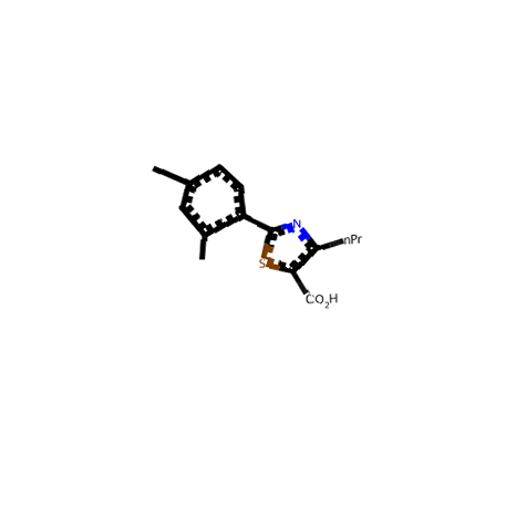 CCCc1nc(-c2ccc(C)cc2C)sc1C(=O)O